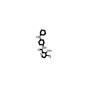 COc1ccnc(C(=O)Nc2ccc(Nc3ccccc3)cc2)c1O